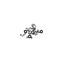 CCCC(CCC)S(=O)(=O)C[C@H](NC(=O)Cc1ccccc1)C(=O)O[C@H](CNCc1cccc(CC)c1)[C@@H](N)Cc1cc(F)cc(F)c1